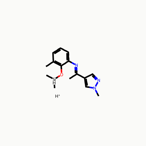 CC(=Nc1cccc(C)c1O[SiH](C)C)c1cnn(C)c1.[H+]